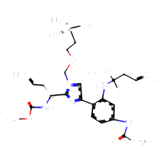 C=CC[C@H](NC(=O)OC(C)(C)C)c1nc(-c2ccc(NC(=O)OC)cc2NC(C)(CC=C)C(=O)O)cn1COCC[Si](C)(C)C